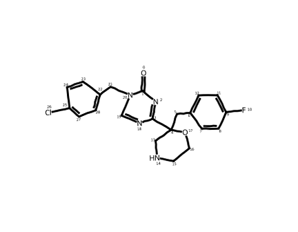 O=c1nc(C2(Cc3ccc(F)cc3)CNCCO2)ncn1Cc1ccc(Cl)cc1